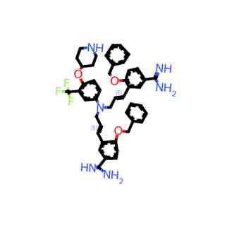 N=C(N)c1ccc(OCc2ccccc2)c(/C=C/CN(C/C=C/c2cc(C(=N)N)ccc2OCc2ccccc2)c2ccc(OC3CCNCC3)c(C(F)(F)F)c2)c1